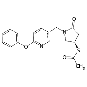 CC(=O)S[C@@H]1CC(=O)N(Cc2ccc(Oc3ccccc3)nc2)C1